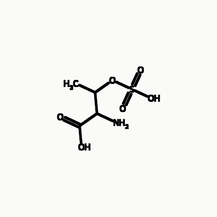 CC(OS(=O)(=O)O)C(N)C(=O)O